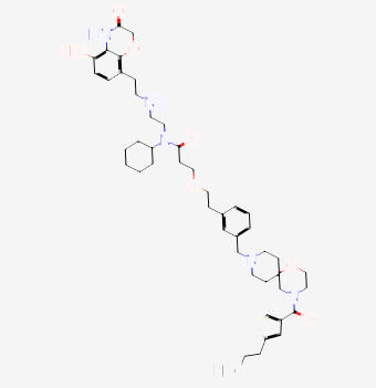 CCCc1cc(C(=O)N2CCOC3(CCN(Cc4cccc(CCOCCC(=O)N(CCNCCc5ccc(O)c6c5OCC(=O)N6)C5CCCCC5)c4)CC3)C2)cs1